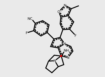 Cc1noc2cc(-c3c(-c4ccc(C#N)c(F)c4)cc4c(N5C6CCC5CC(N)C6)nccn34)c(F)cc12